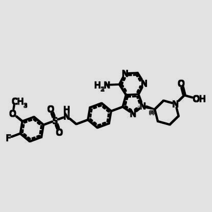 COc1cc(S(=O)(=O)NCc2ccc(-c3nn([C@@H]4CCCN(C(=O)O)C4)c4ncnc(N)c34)cc2)ccc1F